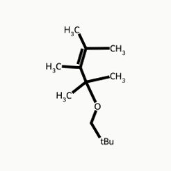 CC(C)=C(C)C(C)(C)OCC(C)(C)C